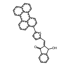 O=C1/C(=C\c2ccc(-c3ccc4c5cccc6cccc(c7cccc3c74)c65)s2)C(O)c2ccccc21